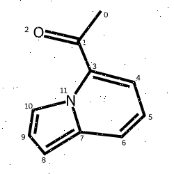 CC(=O)c1cccc2cccn12